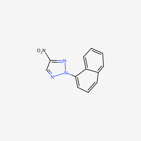 O=[N+]([O-])c1[c]nn(-c2cccc3ccccc23)n1